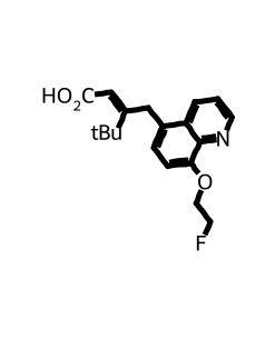 CC(C)(C)/C(=C\C(=O)O)Cc1ccc(OCCF)c2ncccc12